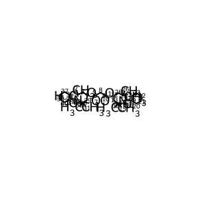 CC1(C)CC(OC(=O)CC(=O)OC2CC(C)(C)N(OC3CCCCC3)C(C)(C)C2)CC(C)(C)N1OC1CCCCC1